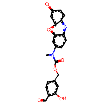 CN(C(=O)OCc1ccc(C=O)c(O)c1)c1ccc2nc3ccc(=O)cc-3oc2c1